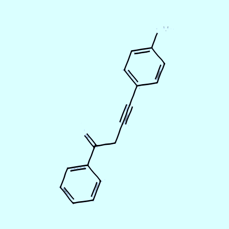 COc1ccc(C#CCC(=O)c2ccccc2)cc1